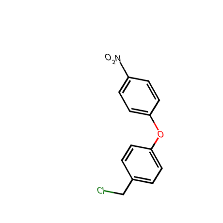 O=[N+]([O-])c1ccc(Oc2ccc(CCl)cc2)cc1